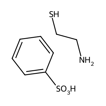 NCCS.O=S(=O)(O)c1ccccc1